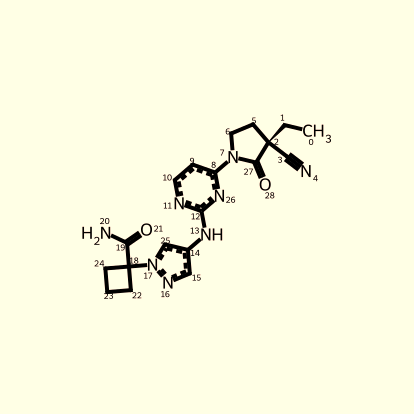 CC[C@]1(C#N)CCN(c2ccnc(Nc3cnn(C4(C(N)=O)CCC4)c3)n2)C1=O